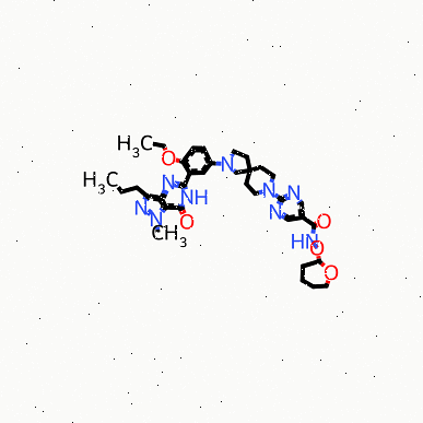 CCCc1nn(C)c2c(=O)[nH]c(-c3cc(N4CCC5(CCN(c6ncc(C(=O)NOC7CCCCO7)cn6)CC5)C4)ccc3OCC)nc12